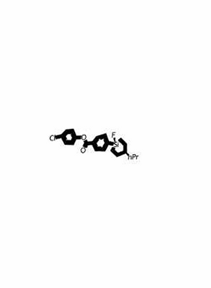 CCC[C@H]1CC[Si@](F)(c2ccc(C(=O)Oc3ccc(Cl)cc3)cc2)CC1